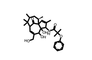 CC1=CC23C(=O)C(C=C(CO)C(O)C2(O)C1NC(=O)C(C)(C)Oc1ccccc1)C(C)(C)C(C)C[C@H]3C